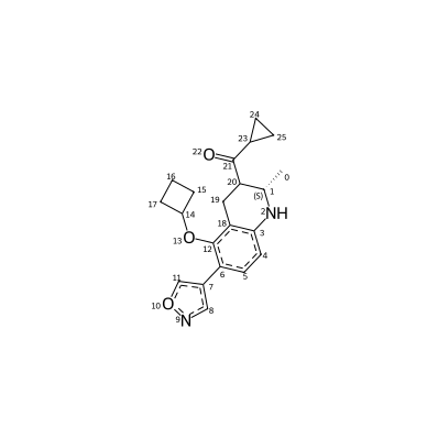 C[C@@H]1Nc2ccc(-c3cnoc3)c(OC3CCC3)c2CC1C(=O)C1CC1